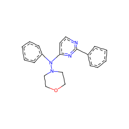 c1ccc(-c2nccc(N(c3ccccc3)N3CCOCC3)n2)cc1